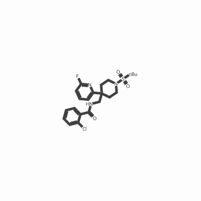 CCCCS(=O)(=O)N1CCC(CNC(=O)c2ccccc2Cl)(c2cccc(F)n2)CC1